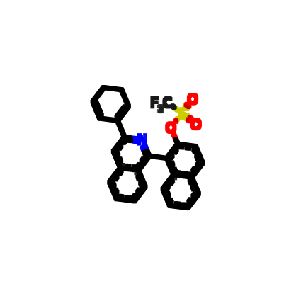 O=S(=O)(Oc1ccc2ccccc2c1-c1nc(C2=CCCC=C2)cc2ccccc12)C(F)(F)F